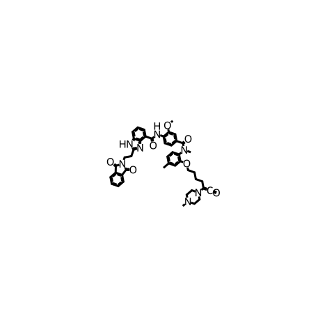 COc1cc(C(=O)N(C)c2ccc(C)cc2OCCCCC(=C=O)N2CCN(C)CC2)ccc1NC(=O)c1cccc2[nH]c(CCN3C(=O)c4ccccc4C3=O)nc12